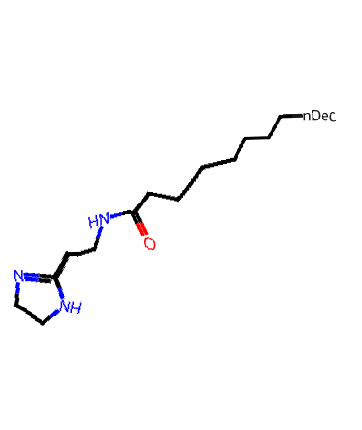 CCCCCCCCCCCCCCCCCC(=O)NCCC1=NCCN1